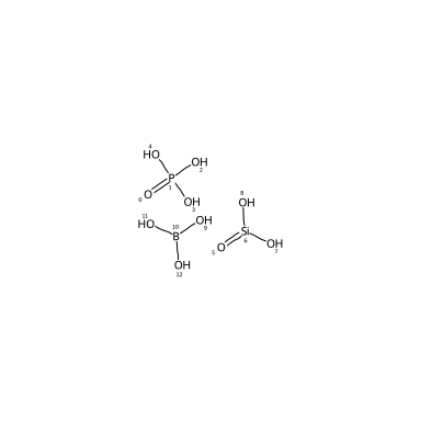 O=P(O)(O)O.O=[Si](O)O.OB(O)O